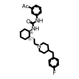 CC(=O)c1cccc(NC(=O)N[C@@H]2CCCC[C@H]2CCN2CCC(Cc3ccc(F)cc3)CC2)c1